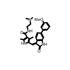 COc1cccc(-c2ccc3c(c2)NC(=O)C3=Cc2[nH]c(C)c(C(=O)NCCN(C)C)c2C)c1